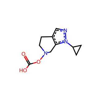 O=C(O)ON1CCc2cnn(C3CC3)c2C1